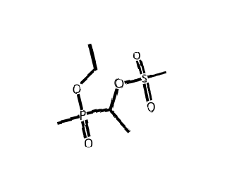 CCOP(C)(=O)C(C)OS(C)(=O)=O